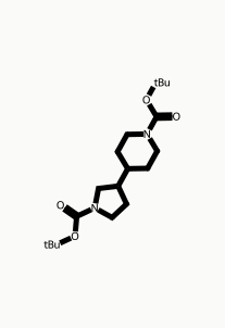 CC(C)(C)OC(=O)N1CCC(C2CCN(C(=O)OC(C)(C)C)C2)CC1